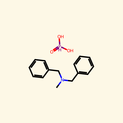 CN(Cc1ccccc1)Cc1ccccc1.O=[PH](O)O